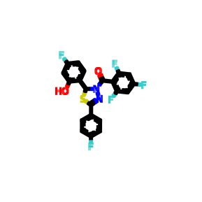 O=C(c1c(F)cc(F)cc1F)N1N=C(c2ccc(F)cc2)SC1c1ccc(F)cc1O